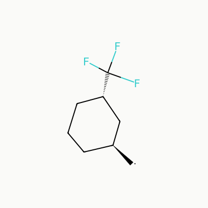 [CH2][C@H]1CCC[C@H](C(F)(F)F)C1